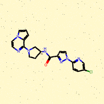 O=C(N[C@H]1CCN(c2nccn3cccc23)C1)c1ccn(-c2ccc(Cl)cn2)n1